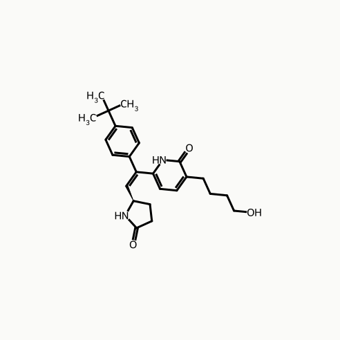 CC(C)(C)c1ccc(C(=C[C@H]2CCC(=O)N2)c2ccc(CCCCO)c(=O)[nH]2)cc1